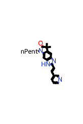 CCCCCN1C(=O)C(C)(C)c2cc3nc(/C=C/c4cccnc4)[nH]c3cc21